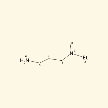 [CH2]N(CC)CCCN